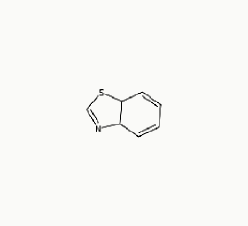 C1=CC2N=CSC2C=C1